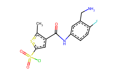 Cc1sc(S(=O)(=O)Cl)cc1C(=O)Nc1ccc(F)c(CN)c1